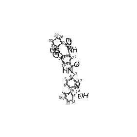 O=C(NCc1ccc(-c2ccccc2CO)nc1)c1ccc2c(c1)NC(=O)c1ccccc1S2(=O)=O